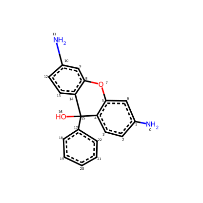 Nc1ccc2c(c1)Oc1cc(N)ccc1C2(O)c1ccccc1